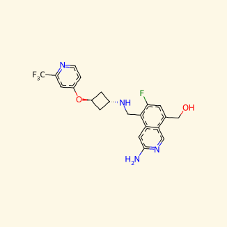 Nc1cc2c(CN[C@H]3C[C@H](Oc4ccnc(C(F)(F)F)c4)C3)c(F)cc(CO)c2cn1